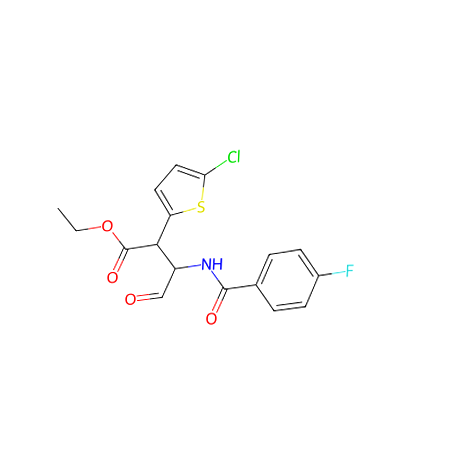 CCOC(=O)C(c1ccc(Cl)s1)C(C=O)NC(=O)c1ccc(F)cc1